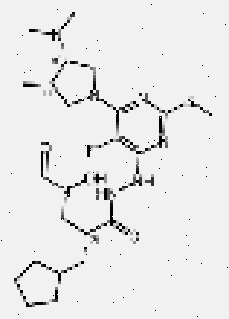 CSc1nc(NNC(=O)[C@H](CC2CCCC2)CN(O)C=O)c(F)c(N2C[C@@H](C)[C@H](N(C)C)C2)n1